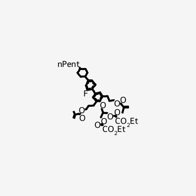 C=C(C)C(=O)OCCCc1cc(-c2ccc(C3CCC(CCCCC)CC3)cc2F)cc(CCCOC(=O)C(=C)C)c1OCC(COC(=O)C(=O)OCC)COC(=O)C(=O)OCC